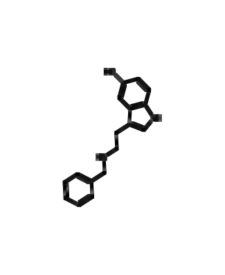 Oc1ccc2[nH]cc(CCNCc3ccccc3)c2c1